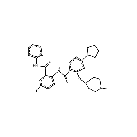 CN1CCC(Oc2cc(N3CCCC3)ccc2C(=O)Nc2ccc(F)cc2C(=O)Nc2ccccn2)CC1